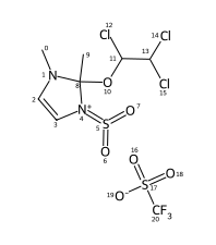 CN1C=C[N+](=S(=O)=O)C1(C)OC(Cl)C(Cl)Cl.O=S(=O)([O-])C(F)(F)F